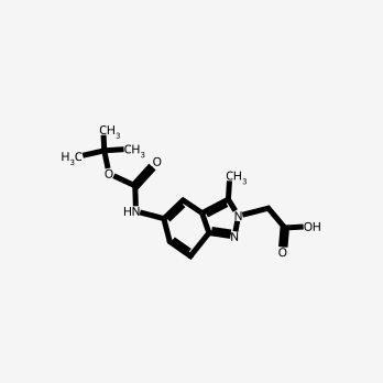 Cc1c2cc(NC(=O)OC(C)(C)C)ccc2nn1CC(=O)O